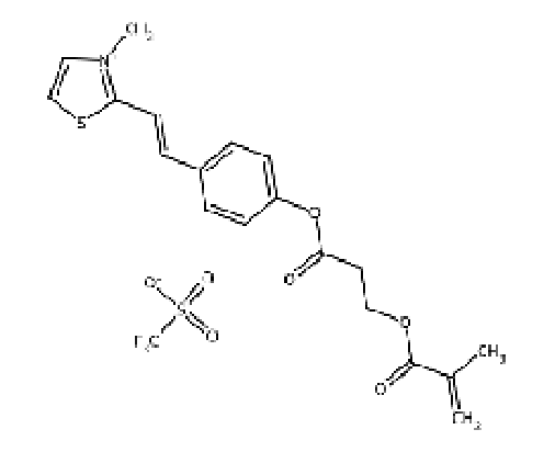 C=C(C)C(=O)OCCC(=O)Oc1ccc(C=Cc2scc[n+]2C)cc1.O=S(=O)([O-])C(F)(F)F